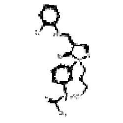 CCc1ccccc1NC=C1C=N[N+](CCCC(=O)[O-])(c2cccc(NC(=O)C(F)(F)F)c2)C1=O